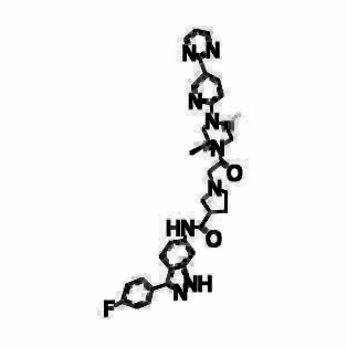 C[C@@H]1CN(C(=O)CN2CCC(C(=O)Nc3ccc4c(-c5ccc(F)cc5)n[nH]c4c3)C2)[C@@H](C)CN1c1ccc(-c2ncccn2)cn1